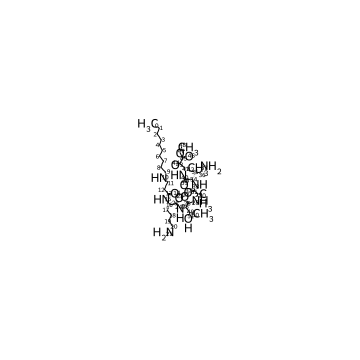 CCCCCCCCCCNCCC(=O)N[C@@H](CCCCN)C(=O)N[C@H](C(=O)N[C@@H](C)C(=O)N[C@@H](CCN)C(=O)N[C@@H](C)C(=O)C(=O)OC)[C@@H](C)O